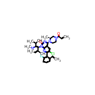 C=CC(=O)N1CCN(c2nc(=O)n(C(/C(C)=C\C)=C(/N=C)C(C)C)c3nc(-c4c(F)cccc4C=C)c(Cl)cc23)[C@@H](C)C1